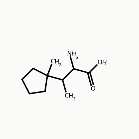 CC(C(N)C(=O)O)C1(C)CCCC1